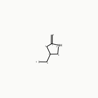 C=C1CC(CI)CN1